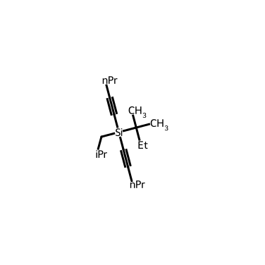 CCCC#C[Si](C#CCCC)(CC(C)C)C(C)(C)CC